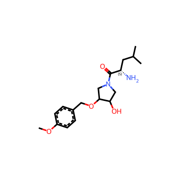 COc1ccc(COC2CN(C(=O)[C@@H](N)CC(C)C)CC2O)cc1